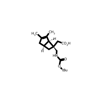 CC1=C(C)[C@@H]2[C@H](C1)C[C@@]2(CNC(=O)OC(C)(C)C)CC(=O)O